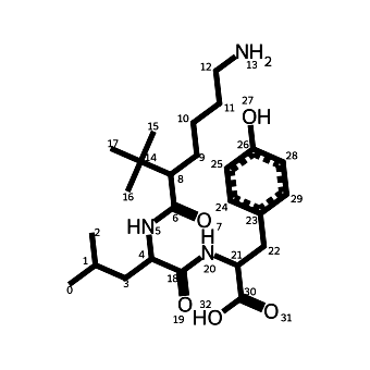 CC(C)CC(NC(=O)C(CCCCN)C(C)(C)C)C(=O)NC(Cc1ccc(O)cc1)C(=O)O